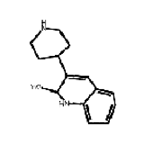 OC1Nc2ccccc2C=C1C1CCNCC1